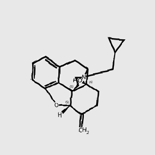 C=C1CC[C@@]2(O)C3Cc4cc[c]c5c4[C@@]2(CCN3CC2CC2)[C@H]1O5